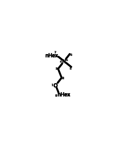 CCCCCCOCC[N+](C)(C)CCCCCC